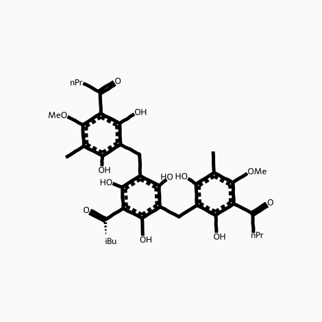 CCCC(=O)c1c(O)c(Cc2c(O)c(Cc3c(O)c(C)c(OC)c(C(=O)CCC)c3O)c(O)c(C(=O)[C@@H](C)CC)c2O)c(O)c(C)c1OC